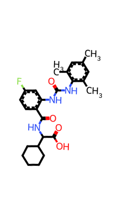 Cc1cc(C)c(NC(=O)Nc2cc(F)ccc2C(=O)NC(C(=O)O)C2CCCCC2)c(C)c1